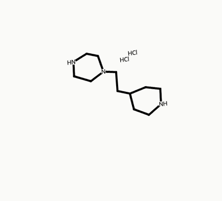 C1CC(CCN2CCNCC2)CCN1.Cl.Cl